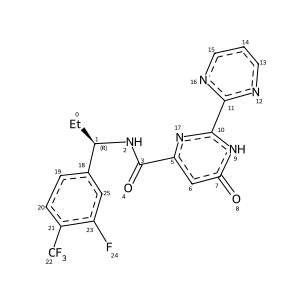 CC[C@@H](NC(=O)c1cc(=O)[nH]c(-c2ncccn2)n1)c1ccc(C(F)(F)F)c(F)c1